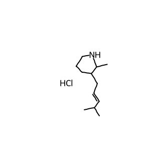 CC(C)C=CCC1CCCNC1C.Cl